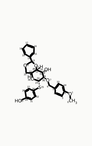 COc1ccc(CO[C@@H]2[C@@H](O)[C@H]3OC(c4ccccc4)OC[C@H]3O[C@H]2Sc2ccc(O)cc2)cc1